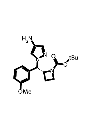 COc1cccc(C([C@H]2CCN2C(=O)OC(C)(C)C)n2cc(N)cn2)c1